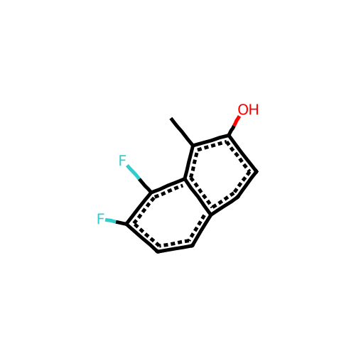 Cc1c(O)ccc2ccc(F)c(F)c12